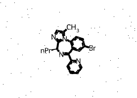 CCC[C@@H]1N=C(c2ccccn2)c2cc(Br)ccc2-n2c(C)cnc21